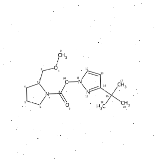 COCC1CCCN1C(=O)On1ccc(C(C)(C)C)n1